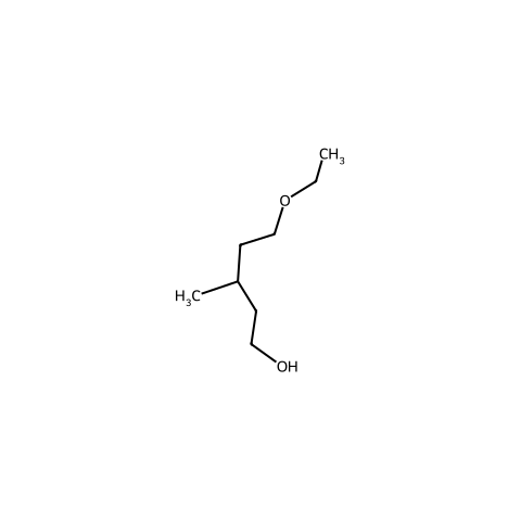 CCOCCC(C)CCO